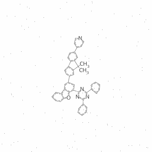 CC1(C)c2cc(-c3ccncc3)ccc2-c2ccc(-c3cc(-c4nc(-c5ccccc5)nc(-c5ccccc5)n4)c4oc5ccccc5c4c3)cc21